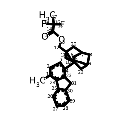 Cc1ccc(C23CC4CC(CC(COC(=O)C(C)(F)F)(C4)C2)C3)c2c1-c1ccccc1C2